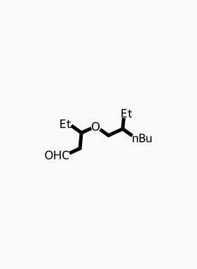 CCCCC(CC)COC(CC)CC=O